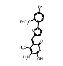 CCOC(=O)c1cc(Br)ccc1-c1ccc(/C=C2\C(=O)N=C(O)C(N)=C2C)o1